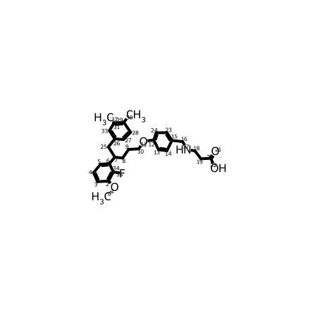 COc1cccc(C(CCCOc2ccc(CNCCC(=O)O)cc2)Cc2ccc(C)c(C)c2)c1F